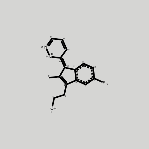 CC1=C(CCO)c2cc(F)ccc2C1=C1C=CC=NN1